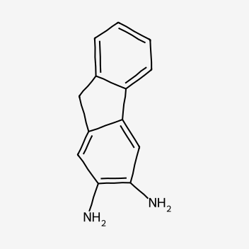 Nc1cc2c(cc1N)-c1ccccc1C2